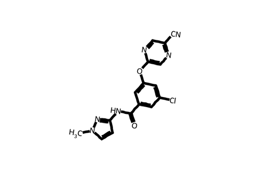 Cn1ccc(NC(=O)c2cc(Cl)cc(Oc3cnc(C#N)cn3)c2)n1